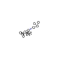 CCC1(CC)c2cc(/C=C/c3ccc(-c4cccc(-c5ccccc5)c4-c4ccccc4)cc3)ccc2-c2ccc(N(c3ccccc3)c3ccccc3)cc21